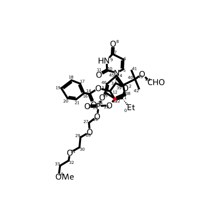 CC[C@H]1O[C@@H](n2ccc(=O)[nH]c2=O)C(OC(=O)c2ccccc2)C1OP(=O)(OCOCCOCCOC)Oc1ccc(C(C)(C)OC=O)cc1